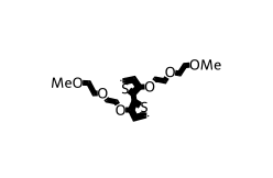 COCCOCCOc1c[c]sc1-c1s[c]cc1OCCOCCOC